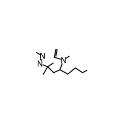 C=CN(C)C(CCCC)CC(C)(C)/N=N/C